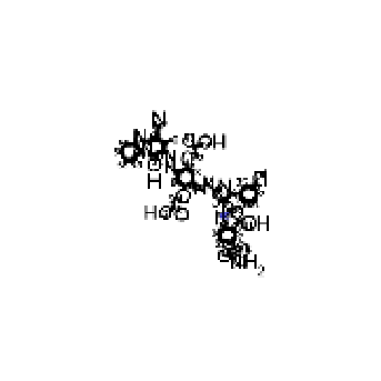 Cc1c(N=Nc2cc(OCC(=O)O)c(N=Nc3nc(-c4cccc(Cl)c4)c(/N=N/c4ccc(S(N)(=O)=O)cc4C(=O)O)s3)cc2OCC(=O)O)c(O)n2c(nc3ccccc32)c1C#N